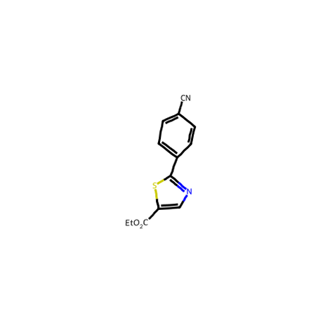 CCOC(=O)c1cnc(-c2ccc(C#N)cc2)s1